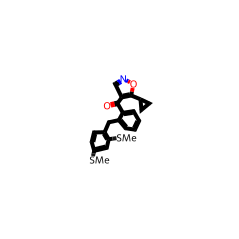 CSc1ccc(Cc2ccccc2C(=O)c2cnoc2C2CC2)c(SC)c1